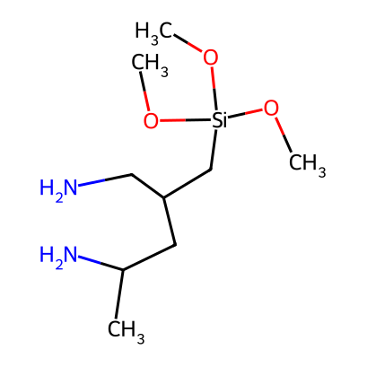 CO[Si](CC(CN)CC(C)N)(OC)OC